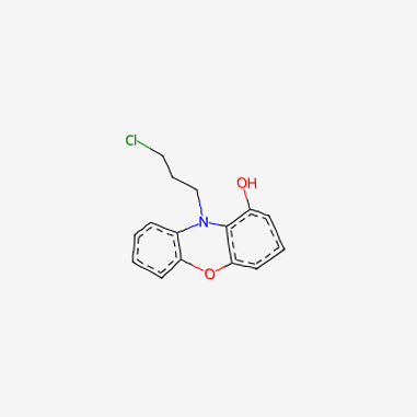 Oc1cccc2c1N(CCCCl)c1ccccc1O2